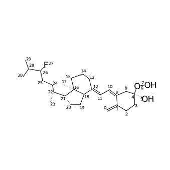 C=C1CC[C@](O)(OO)C/C1=C/C=C1CCC[C@@]2(C)C1CC[C@@H]2[C@H](C)CCC(F)C(C)C